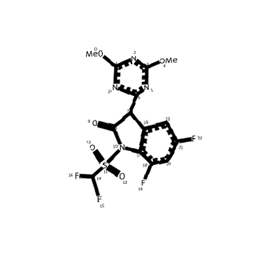 COc1nc(OC)nc(C2C(=O)N(S(=O)(=O)C(F)F)c3c(F)cc(F)cc32)n1